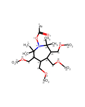 CC(C)C(=O)ON1C(C)(C)C(CO[N+](=O)[O-])C(CO[N+](=O)[O-])C(CO[N+](=O)[O-])C(CO[N+](=O)[O-])C1(C)C